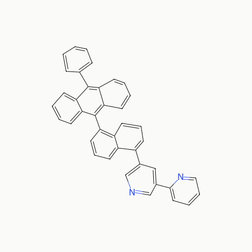 c1ccc(-c2c3ccccc3c(-c3cccc4c(-c5cncc(-c6ccccn6)c5)cccc34)c3ccccc23)cc1